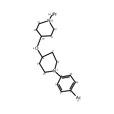 CC(=O)c1ccc(N2CCC(OC3CCN(C(C)C)CC3)CC2)cc1